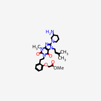 COC(=O)COc1ccccc1CCn1c(=O)c2c(nc(N3CCCC(N)C3)n2CC=C(C)C)n(C)c1=O